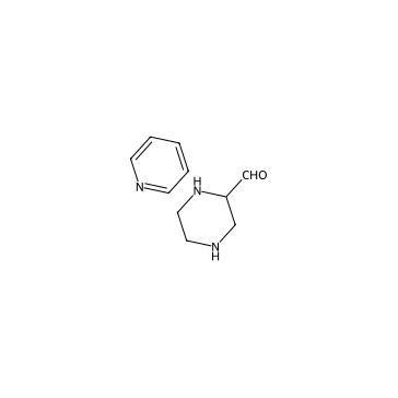 O=CC1CNCCN1.c1ccncc1